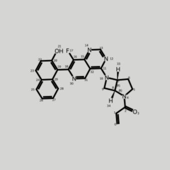 C=CC(=O)N1CC[C@@H]2[C@H]1CN2c1ncnc2c(F)c(-c3c(O)ccc4ccccc34)ncc12